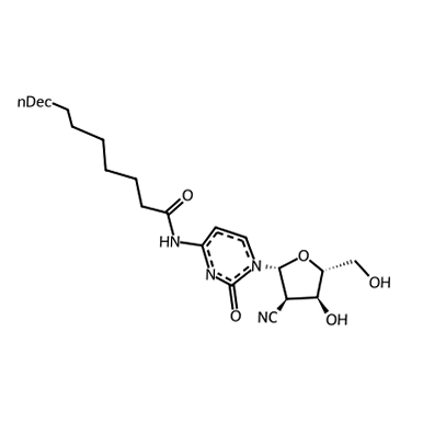 CCCCCCCCCCCCCCCCC(=O)Nc1ccn([C@@H]2O[C@H](CO)[C@@H](O)[C@H]2C#N)c(=O)n1